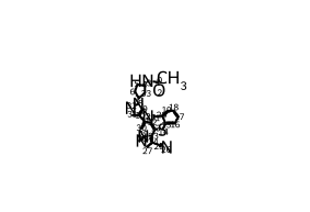 CC(=O)N[C@@H]1CC[C@@H](n2cc(-c3cc(Sc4ccccc4C#N)c4c(C#N)cnn4c3)cn2)C1